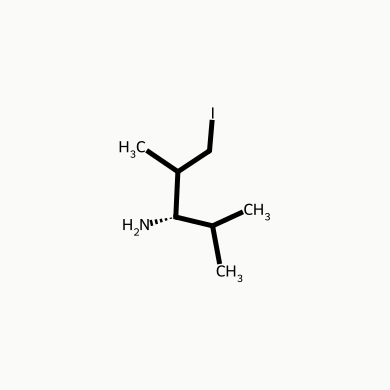 CC(C)[C@H](N)C(C)CI